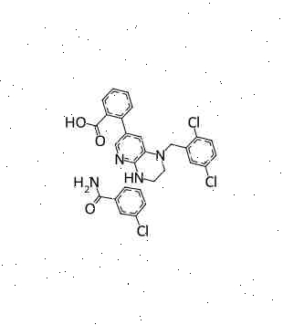 NC(=O)c1cccc(Cl)c1.O=C(O)c1ccccc1-c1cnc2c(c1)N(Cc1cc(Cl)ccc1Cl)CCN2